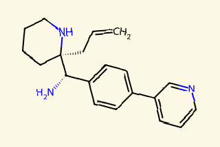 C=CC[C@]1([C@@H](N)c2ccc(-c3cccnc3)cc2)CCCCN1